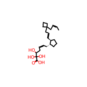 C/C=C\CC1(C/C=C/[C@H]2CCC[C@@H]2C/C=C\CC(O)C(O)(O)C(=O)O)CCC1